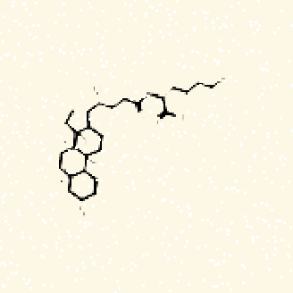 C[C@H](CCC(=O)N[C@@H](CCCCN)C(=O)O)[C@H]1CC[C@H]2[C@@H]3CC[C@@H]4C[C@H](O)CC[C@]4(C)[C@H]3CC[C@]12C